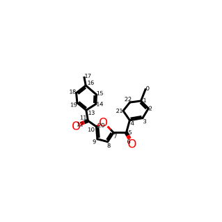 CC1=CC=C(C(=O)c2ccc(C(=O)c3ccc(C)cc3)o2)CC1